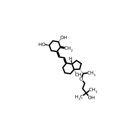 C=C1/C(=C\C=C2/CCC[C@]3(C)[C@@H](C(C)OCCC(C)(C)O)CC[C@@H]23)C[C@@H](O)C[C@@H]1O